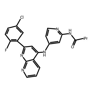 CC(C)C(=O)Nc1cc(Nc2cc(-c3cc(Cl)ccc3F)nc3ncccc23)ccn1